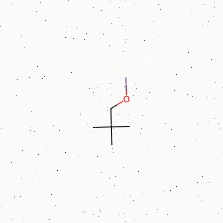 CC(C)(C)COI